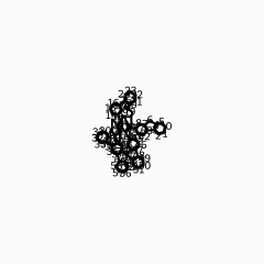 c1ccc2c(c1)Cc1cc(-c3nc(-c4cccc5c4sc4ccccc45)nc(-n4c5ccccc5c5cc6c(cc54)C4(c5ccccc5-c5ccccc54)c4ccccc4-6)n3)ccc1-2